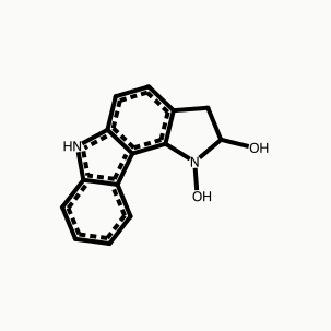 OC1Cc2ccc3[nH]c4ccccc4c3c2N1O